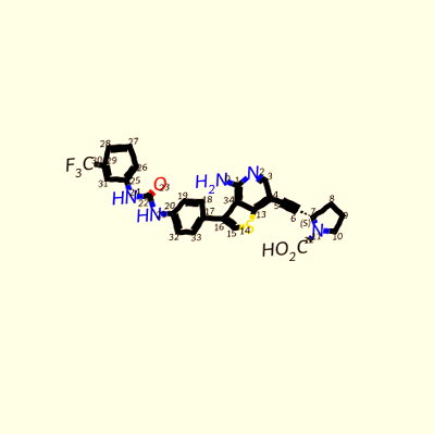 Nc1ncc(C#C[C@@H]2CCCN2C(=O)O)c2scc(-c3ccc(NC(=O)Nc4cccc(C(F)(F)F)c4)cc3)c12